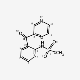 CS(=O)(=O)Nc1ncccc1C(=O)c1cccnc1